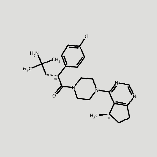 C[C@@H]1CCc2ncnc(N3CCN(C(=O)[C@H](CC(C)(C)N)c4ccc(Cl)cc4)CC3)c21